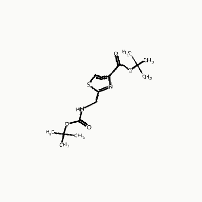 CC(C)(C)OC(=O)NCc1nc(C(=O)OC(C)(C)C)cs1